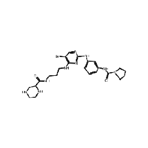 O=C(NCCCNc1nc(Nc2cccc(NC(=O)N3CCCC3)c2)ncc1Br)C1CNCCN1